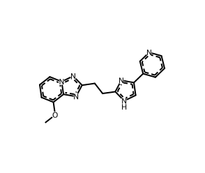 COc1cccn2nc(CCc3nc(-c4cccnc4)c[nH]3)nc12